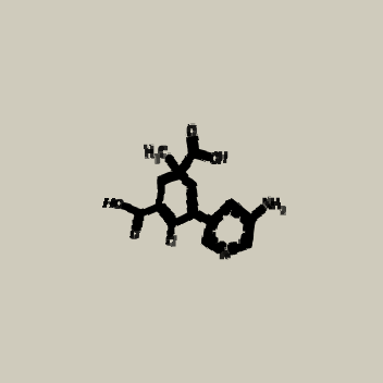 CC1(C(=O)O)C=C(c2cncc(N)c2)C(Cl)=C(C(=O)O)C1